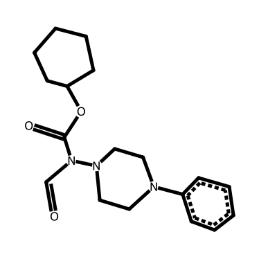 O=CN(C(=O)OC1CCCCC1)N1CCN(c2ccccc2)CC1